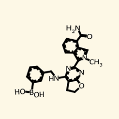 Cn1cc2c(C(N)=O)cccc2c1-c1nc(NCc2cccc(B(O)O)c2)c2c(n1)OCC2